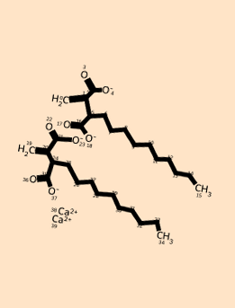 C=C(C(=O)[O-])C(CCCCCCCCCC)C(=O)[O-].C=C(C(=O)[O-])C(CCCCCCCCCC)C(=O)[O-].[Ca+2].[Ca+2]